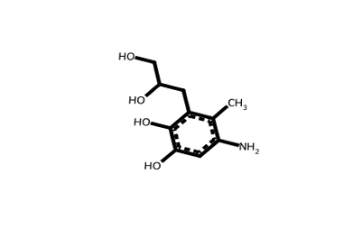 Cc1c(N)cc(O)c(O)c1CC(O)CO